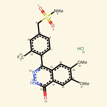 CNS(=O)(=O)Cc1ccc(-c2n[nH]c(=O)c3cc(OC)c(OC)cc23)c(C(F)(F)F)c1.Cl